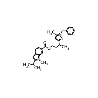 Cc1cc(C(C)CCOC(=O)c2ccc3cc(C(C)C)n(C)c3c2)nn1Cc1ccccc1